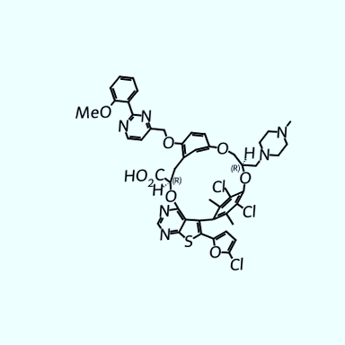 COc1ccccc1-c1nccc(COc2ccc3cc2C[C@H](C(=O)O)Oc2ncnc4sc(-c5ccc(Cl)o5)c(c24)-c2c(C)c(Cl)c(c(Cl)c2C)O[C@H](CN2CCN(C)CC2)CO3)n1